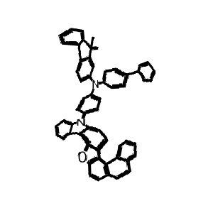 CC1(C)c2ccccc2-c2ccc(N(c3ccc(-c4ccccc4)cc3)c3ccc(-n4c5ccccc5c5c6oc7ccc8ccc9ccccc9c8c7c6ccc54)cc3)cc21